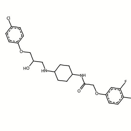 O=C(COc1ccc(Cl)c(F)c1)NC1CCC(NCC(O)COc2ccc(Cl)cc2)CC1